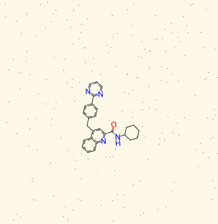 O=C(NC1CCCCC1)c1cc(Cc2ccc(-c3ncccn3)cc2)c2ccccc2n1